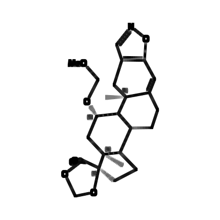 COCO[C@H]1C[C@@]2(C)C(CC[C@@]23OCOC32COCO2)C2CCC3=Cc4oncc4C[C@]3(C)C21